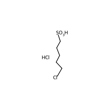 Cl.O=S(=O)(O)CCCCCCl